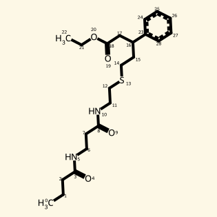 CCCC(=O)NCCC(=O)NCCSCCC(CC(=O)OCC)c1ccccc1